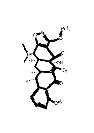 C[C@H]1c2cccc(O)c2C(=O)C2=C(O)[C@]3(O)C(=O)c4c(OP)noc4[C@@H](N(C)C)[C@@H]3C[C@@H]21